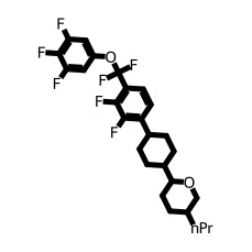 CCCC1CCC(C2CCC(c3ccc(C(F)(F)Oc4cc(F)c(F)c(F)c4)c(F)c3F)CC2)OC1